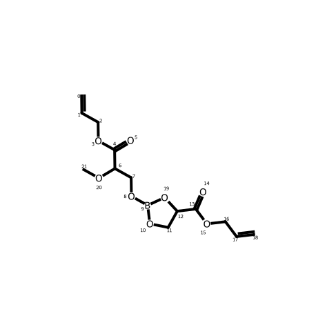 C=CCOC(=O)C(COB1OCC(C(=O)OCC=C)O1)OC